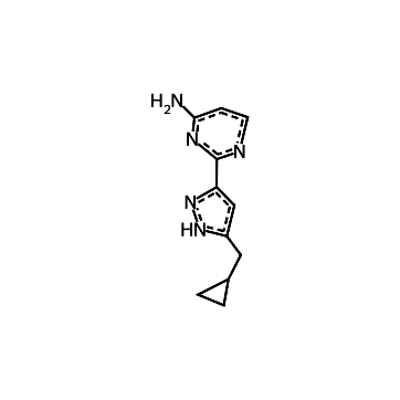 Nc1ccnc(-c2cc(CC3CC3)[nH]n2)n1